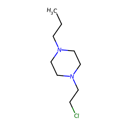 CCCN1CCN(CCCl)CC1